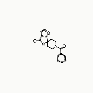 O=C1OC2(CCN(C(=O)c3ccccc3)CC2)c2occc21